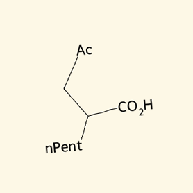 CCCCCC(CC(C)=O)C(=O)O